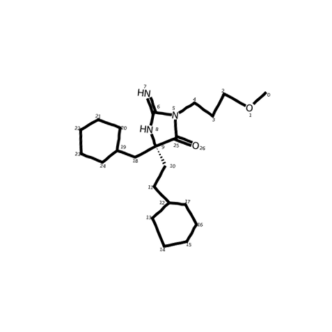 COCCCN1C(=N)N[C@](CCC2CCCCC2)(CC2CCCCC2)C1=O